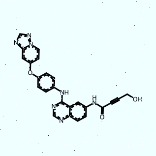 O=C(C#CCO)Nc1ccc2ncnc(Nc3ccc(Oc4ccn5ncnc5c4)cc3)c2c1